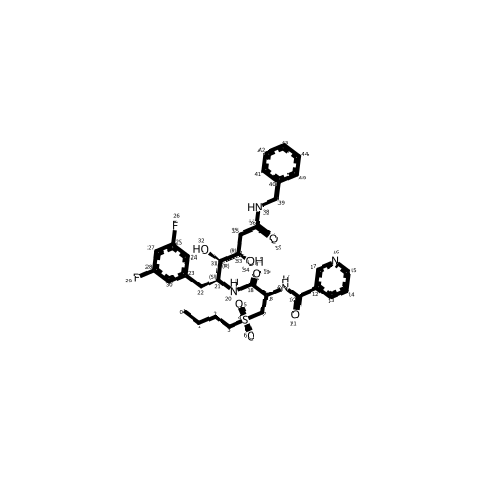 CCCCS(=O)(=O)CC(NC(=O)c1cccnc1)C(=O)N[C@@H](Cc1cc(F)cc(F)c1)[C@@H](O)[C@H](O)CC(=O)NCc1ccccc1